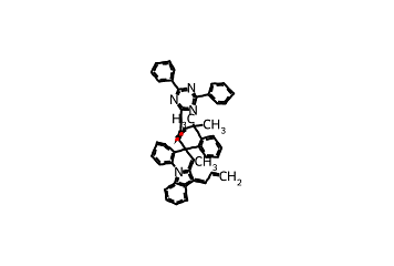 C=C/C=c1\c2n(c3ccccc13)-c1ccccc1C1(C=2C)c2ccccc2C(C)(C)c2c(-c3nc(-c4ccccc4)nc(-c4ccccc4)n3)cccc21